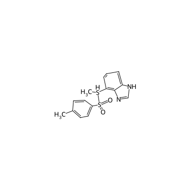 Cc1ccc(S(=O)(=O)[SH](C)c2cccc3[nH]cnc23)cc1